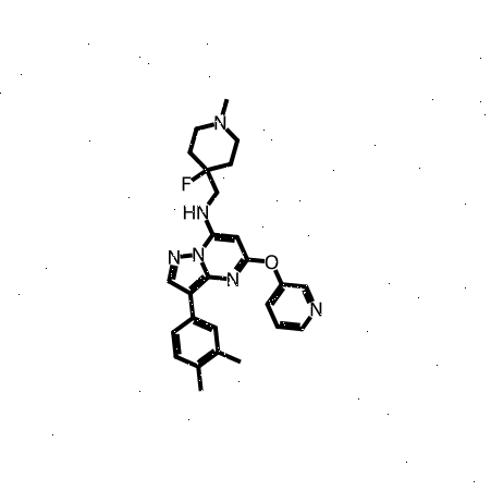 Cc1ccc(-c2cnn3c(NCC4(F)CCN(C)CC4)cc(Oc4cccnc4)nc23)cc1C